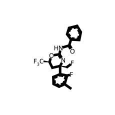 Cc1cccc([C@]2(CF)C[C@@H](C(F)(F)F)OC(NC(=O)c3ccccc3)=N2)c1F